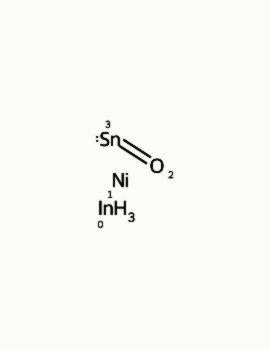 [InH3].[Ni].[O]=[Sn]